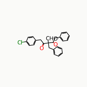 O=[C]C(Cc1ccccc1)(C(=O)Cc1ccccc1)C(=O)Cc1ccc(Cl)cc1